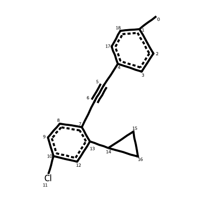 Cc1ccc(C#Cc2ccc(Cl)cc2C2CC2)cc1